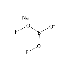 [Na+].[O-]B(OF)OF